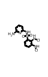 Nc1cccc(NS(=O)(=O)c2cccc(NCl)c2NCl)n1